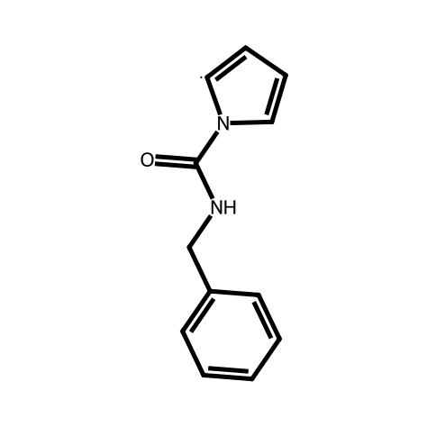 O=C(NCc1ccccc1)n1[c]ccc1